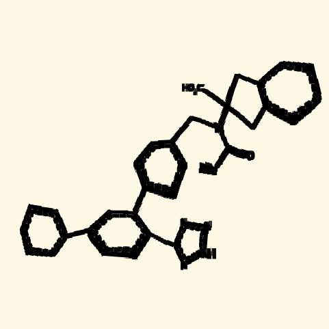 CCCCC(=O)N(Cc1ccc(-c2cc(-c3ccccc3)ccc2-c2nn[nH]n2)cc1)C1(C(=O)O)Cc2ccccc2C1